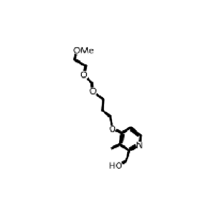 COCCOCOCCCOc1ccnc(CO)c1C